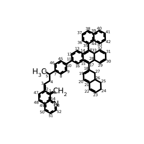 C=c1/c(=C\CC(C)c2ccc(-c3ccc4c(c3)=C(C3=CC=C5C=CCCC5C3)C3C=CC=CC3C=4c3cccc4ccccc34)cc2)ccc2cccnc12